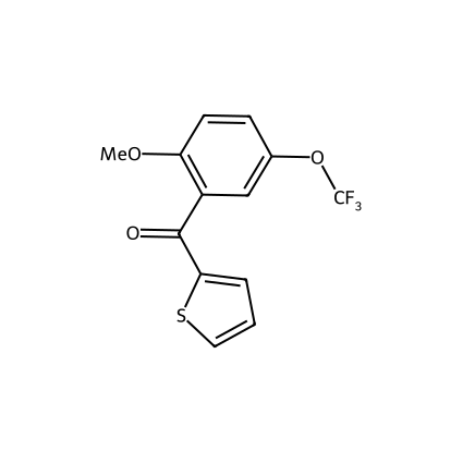 COc1ccc(OC(F)(F)F)cc1C(=O)c1cccs1